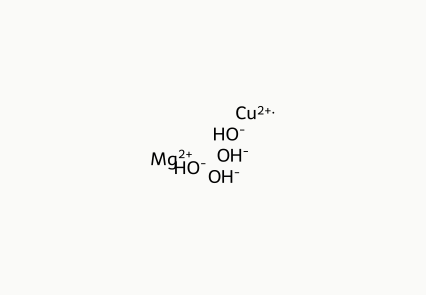 [Cu+2].[Mg+2].[OH-].[OH-].[OH-].[OH-]